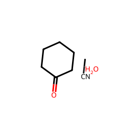 CC#N.O.O=C1CCCCC1